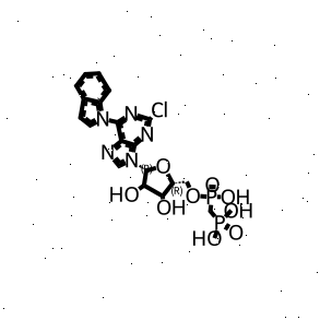 O=P(O)(O)CP(=O)(O)OC[C@H]1O[C@@H](n2cnc3c(-n4ccc5ccccc54)nc(Cl)nc32)C(O)C1O